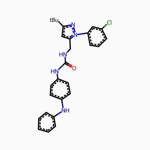 CC(C)(C)c1cc(CNC(=O)Nc2ccc(Nc3ccccc3)cc2)n(-c2cccc(Cl)c2)n1